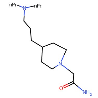 CCCN(CCC)CCCC1CCN(CC(N)=O)CC1